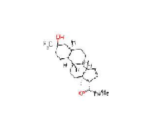 CNC(=O)[C@H]1CC[C@H]2[C@@H]3CC[C@@H]4C[C@@](O)(C(F)(F)F)CC[C@@H]4[C@H]3CC[C@]12C